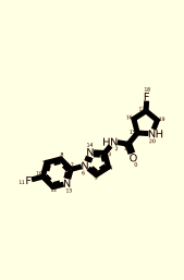 O=C(Nc1ccn(-c2ccc(F)cn2)n1)C1CC(F)CN1